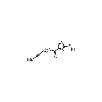 CCSc1ncc(C(=O)NCCC#CC(C)(C)C)s1